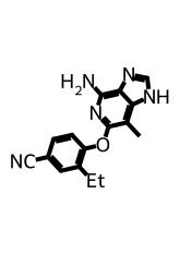 CCc1cc(C#N)ccc1Oc1nc(N)c2nc[nH]c2c1C